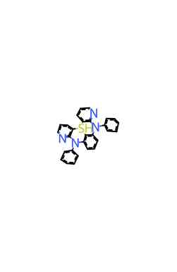 c1ccc(N2c3cccc4c3[SH](c3cccnc32)c2cccnc2N4c2ccccc2)cc1